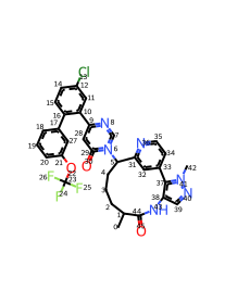 CC1CCCC(n2cnc(-c3cc(Cl)ccc3-c3cccc(OC(F)(F)F)c3)cc2=O)c2cc(ccn2)-c2c(cnn2C)NC1=O